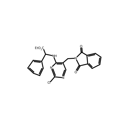 CCOC(=O)C(Nc1nc(Cl)ncc1CN1C(=O)c2ccccc2C1=O)c1ccccc1